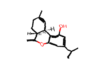 C=C1Oc2cc(C(C)C)cc(O)c2[C@@H]2C=C(C)CC[C@@H]12